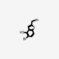 CC(C)Cc1cc2c(S)c(Br)ccc2s1